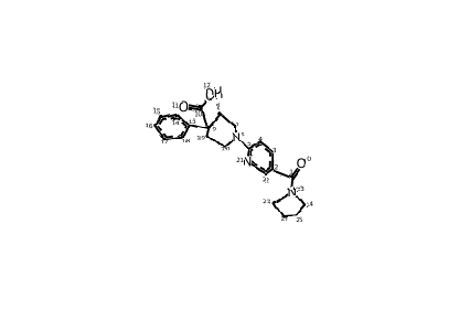 O=C(c1ccc(N2CCC(C(=O)O)(c3ccccc3)CC2)nc1)N1CCCC1